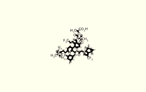 C[C@@H](OC(=O)N(c1nn(CC(F)(F)F)c2c(-c3ccc(CCC(C)(C)S(C)(=O)=O)nc3[C@H](Cc3cc(F)cc(F)c3)NC(=O)Cn3nc(C(F)(F)F)c4c3C(F)(F)C3C[C@H]43)ccc(Cl)c12)S(C)(=O)=O)C(=O)O